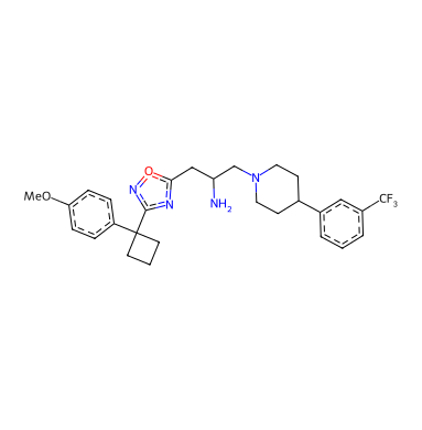 COc1ccc(C2(c3noc(CC(N)CN4CCC(c5cccc(C(F)(F)F)c5)CC4)n3)CCC2)cc1